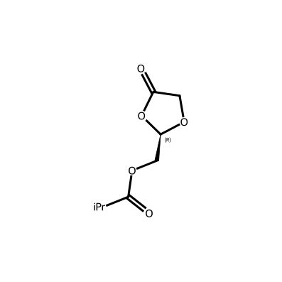 CC(C)C(=O)OC[C@@H]1OCC(=O)O1